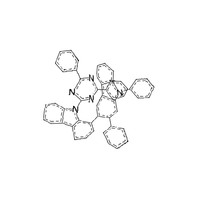 c1ccc(-c2nc(-c3ccccc3)nc(-n3c4ccccc4c4cccc(-c5cc6c7ccccc7n(-c7ccccc7)c6cc5-c5ccccc5)c43)n2)cc1